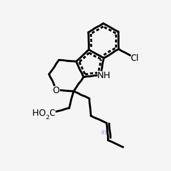 C/C=C/CCC1(CC(=O)O)OCCc2c1[nH]c1c(Cl)cccc21